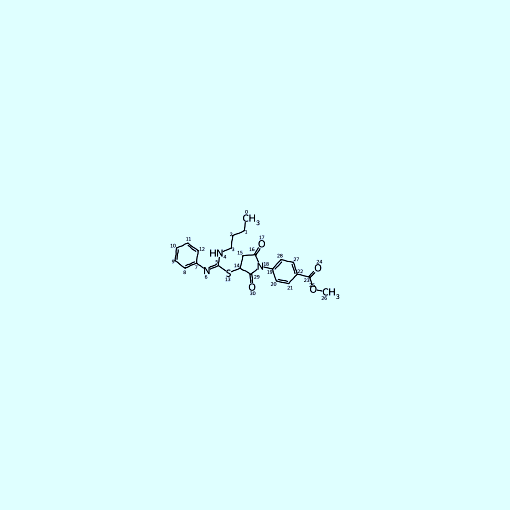 CCCCN/C(=N\c1ccccc1)SC1CC(=O)N(c2ccc(C(=O)OC)cc2)C1=O